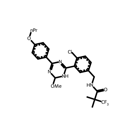 CCCOc1ccc(C2=NC(OC)NC(c3cc(CNC(=O)C(C)(C)C(F)(F)F)ccc3Cl)=N2)cc1